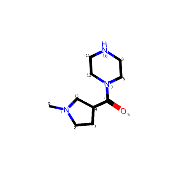 CN1CCC(C(=O)N2CCNCC2)C1